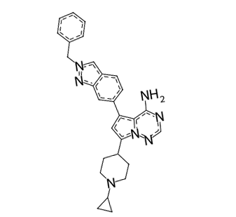 Nc1ncnn2c(C3CCN(C4CC4)CC3)cc(-c3ccc4cn(Cc5ccccc5)nc4c3)c12